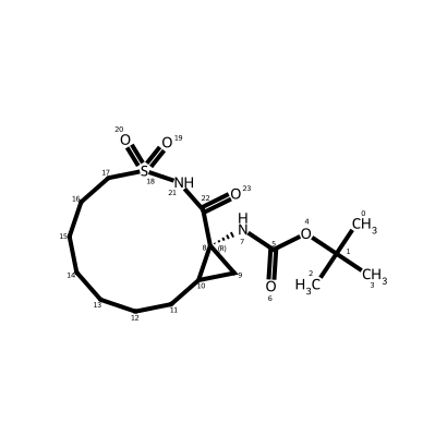 CC(C)(C)OC(=O)N[C@]12CC1CCCCCCCS(=O)(=O)NC2=O